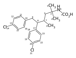 CC(CC(C)(C)NC(=O)O)C(Cc1ccc(Cl)cc1)c1ccc(Cl)cc1